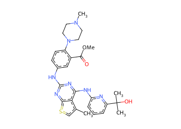 COC(=O)c1cc(Nc2nc(Nc3cccc(C(C)(C)O)n3)c3c(C)csc3n2)ccc1N1CCN(C)CC1